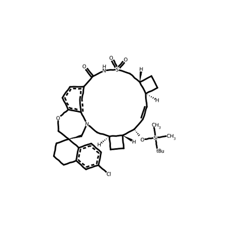 CC(C)(C)[Si](C)(C)O[C@H]1/C=C\[C@@H]2CC[C@H]2CS(=O)(=O)NC(=O)c2ccc3c(c2)N(C[C@@H]2CC[C@H]21)C[C@@]1(CCCc2cc(Cl)ccc21)CO3